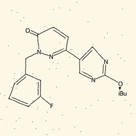 CC[C@H](C)Oc1ncc(-c2ccc(=O)n(Cc3cccc(F)c3)n2)cn1